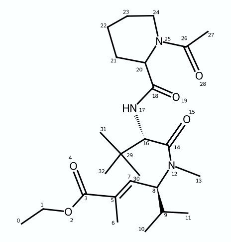 CCOC(=O)/C(C)=C/[C@H](C(C)C)N(C)C(=O)[C@@H](NC(=O)C1CCCCN1C(C)=O)C(C)(C)C